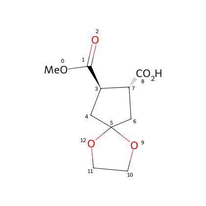 COC(=O)[C@@H]1CC2(C[C@H]1C(=O)O)OCCO2